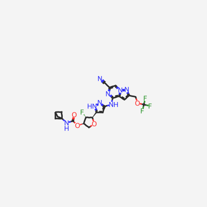 N#Cc1cn2nc(COC(F)(F)F)cc2c(Nc2cc([C@H]3OC[C@@H](OC(=O)NC45CC(C4)C5)[C@@H]3F)[nH]n2)n1